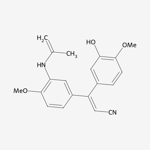 C=C(C)Nc1cc(C(=CC#N)c2ccc(OC)c(O)c2)ccc1OC